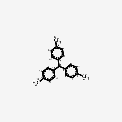 FC(F)(F)c1ccc([C](c2ccc(C(F)(F)F)cc2)c2ccc(C(F)(F)F)cc2)cc1